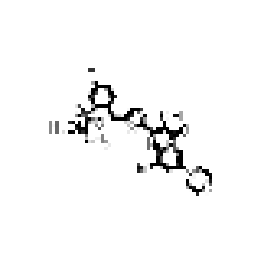 CN(C)S(=O)(=O)c1cc(F)ccc1Cc1cnc(-c2nc3c(Br)cc(N4CCOCC4)cn3c(=O)c2O)s1